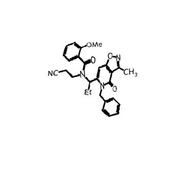 CCC(c1cc2onc(C)c2c(=O)n1Cc1ccccc1)N(CCC#N)C(=O)c1ccccc1OC